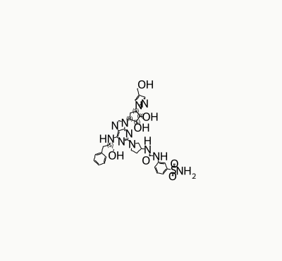 NS(=O)(=O)c1cccc(NC(=O)NC2CCN(c3nc(N[C@H](CO)Cc4ccccc4)c4ncn([C@@H]5C[C@H](n6cc(CO)cn6)[C@@H](O)[C@H]5O)c4n3)C2)c1